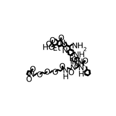 CC[C@@]1(O)C(=O)OCc2c1cc1n(c2=O)Cc2c-1nc1cc(F)c(NC(=O)CNC(=O)[C@H](Cc3ccccc3)NC(=O)CNC(=O)CNC(=O)CCOCCOCCOCCN3C(=O)C=CC3=O)cc1c2CN